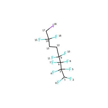 FC(F)C(F)(F)C(F)(F)C(F)(F)CCC(F)(F)CI